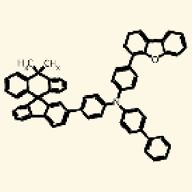 CC1(C)c2ccccc2C2(c3ccccc3-c3ccc(-c4ccc(N(c5ccc(C6=c7oc8ccccc8c7=CCC6)cc5)c5ccc(-c6ccccc6)cc5)cc4)cc32)c2ccccc21